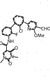 COc1nc(-c2cccc(-c3cccc(NC(=O)c4cn(C)c(=O)n(C)c4=O)c3F)c2Cl)ccc1C=O